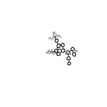 CC(C)(C)c1ccc(-c2ccc3c(c2)c2cc(C(C)(C)C)ccc2n3-c2c(-c3ccccc3)cc(-c3nc(-c4ccc(-c5ccccc5)cc4)nc(-c4cccc5oc6ccccc6c45)n3)cc2-c2ccccc2)cc1